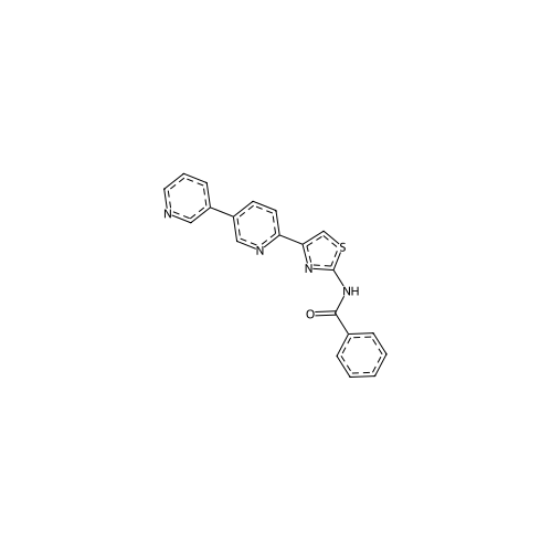 O=C(Nc1nc(-c2ccc(-c3cccnc3)cn2)cs1)c1ccccc1